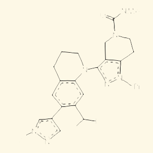 CNC(=O)N1CCc2c(c(N3CCCc4cc(-c5cnn(C)c5)c(C(F)F)cc43)nn2C(C)C)C1